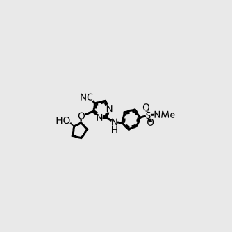 CNS(=O)(=O)c1ccc(Nc2ncc(C#N)c(O[C@H]3CCC[C@H]3O)n2)cc1